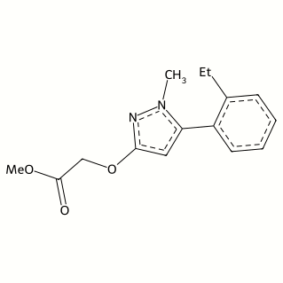 CCc1ccccc1-c1cc(OCC(=O)OC)nn1C